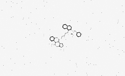 CC(=O)N(Cc1ccccc1)c1ccc2ccccc2c1CCCCC[C@@H]1Cc2cc(O)ccc2[C@@H]2[C@@H]1[C@@H]1CC[C@H](O)[C@@]1(C)C[C@@H]2F